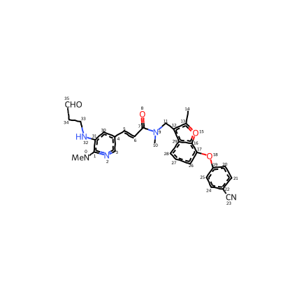 CNc1ncc(/C=C/C(=O)N(C)Cc2c(C)oc3c(Oc4ccc(C#N)cc4)cccc23)cc1NCCC=O